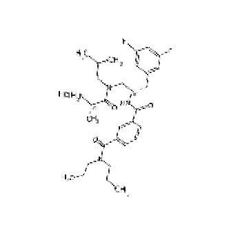 CCCN(CCC)C(=O)c1cccc(C(=O)N[C@@H](Cc2cc(F)cc(F)c2)CN(CC(C)C)C(=O)[C@H](C)N)c1.Cl